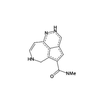 CNC(=O)c1cc2c[nH]nc3c-2c1CNC=C3